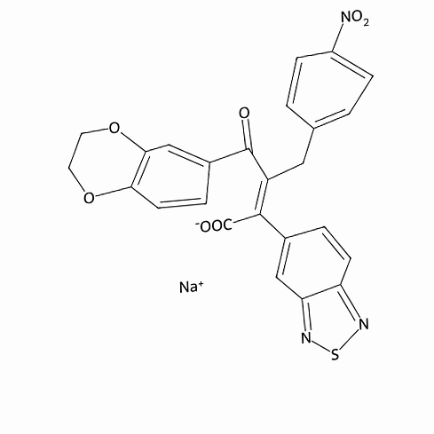 O=C([O-])C(=C(Cc1ccc([N+](=O)[O-])cc1)C(=O)c1ccc2c(c1)OCCO2)c1ccc2nsnc2c1.[Na+]